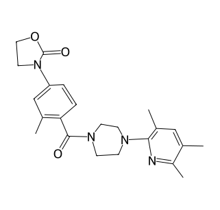 Cc1cc(N2CCOC2=O)ccc1C(=O)N1CCN(c2nc(C)c(C)cc2C)CC1